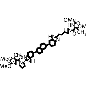 COC(=O)NC(C(=O)N1CCC[C@H]1c1nc2ccc(-c3ccc4cc(-c5ccc6nc(CCCCNC(=O)[C@@H](NC(=O)OC)[C@@H](C)OC)[nH]c6c5)ccc4c3)cc2[nH]1)[C@@H](C)OC